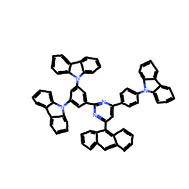 c1ccc2c(-c3cc(-c4ccc(-n5c6ccccc6c6ccccc65)cc4)nc(-c4cc(-n5c6ccccc6c6ccccc65)cc(-n5c6ccccc6c6ccccc65)c4)n3)c3ccccc3cc2c1